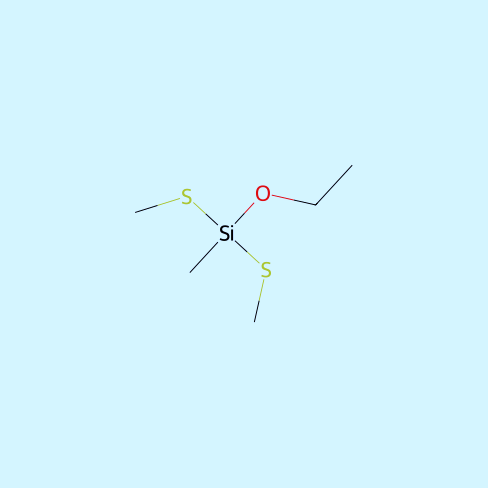 CCO[Si](C)(SC)SC